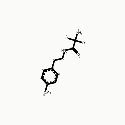 CCC(N)(CC)C(=O)NCCc1ccc(OC)cc1